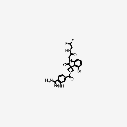 Nc1n[nH]c2cc(C(=O)N3CC4(C3)C(=O)N(CC(=O)NCC(F)F)c3cccc(Br)c34)ccc12